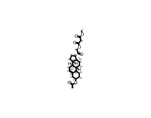 COC(=O)CC(=O)OCC(=O)[C@H]1CC[C@H]2[C@@H]3CC=C4CC(OC(C)=O)CC[C@]4(C)[C@H]3CC[C@]12C